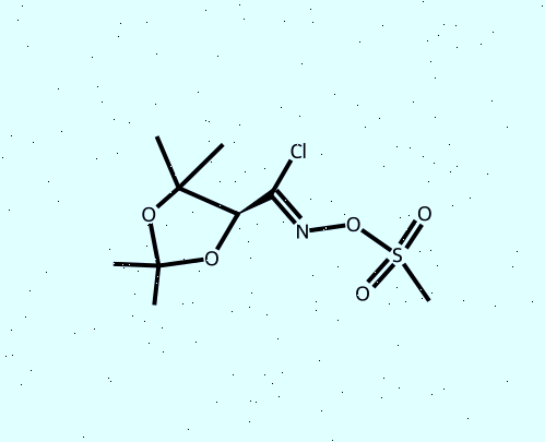 CC1(C)O[C@H](C(Cl)=NOS(C)(=O)=O)C(C)(C)O1